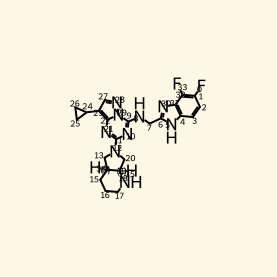 Fc1ccc2[nH]c(CNc3nc(N4C[C@@H]5CCCN[C@@H]5C4)nc4c(C5CC5)cnn34)nc2c1F